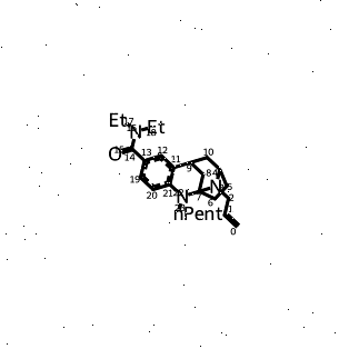 C=CCN1C2CCC13CC(C2)c1cc(C(=O)N(CC)CC)ccc1N3CCCCC